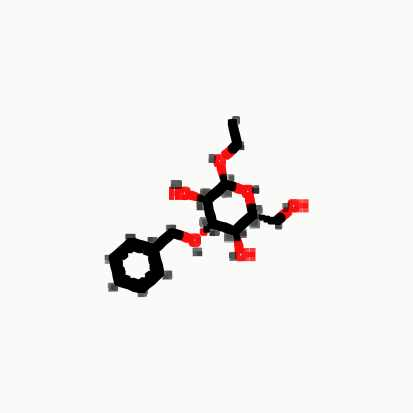 CCO[C@H]1O[C@H](CO)[C@@H](O)[C@H](OCc2ccccc2)[C@H]1O